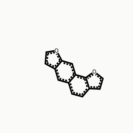 c1cc2cc3ccc4ccoc4c3cc2o1